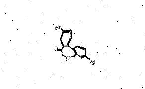 O=C1COCc2cc(Br)ccc2-c2ccc(Br)cc21